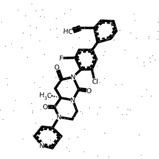 C#Cc1ccccc1-c1cc(F)c(N2C(=O)C[C@]3(C)C(=O)N(c4ccncc4)CCN3C2=O)c(Cl)c1